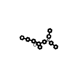 C1=CCCC(c2ccc(-c3ccc4c(c3)oc3c5ccccc5c(-c5ccc(N(C6=CCC(c7ccccc7)C=C6)c6ccc(-c7ccccc7)cc6)cc5)cc43)cc2)=C1